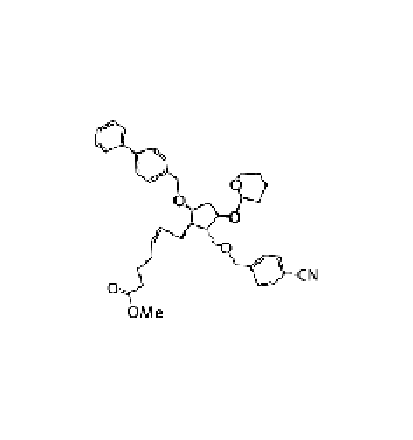 COC(=O)CCC/C=C\C[C@@H]1[C@@H](COCc2ccc(C#N)cc2)[C@H](OC2CCCCO2)C[C@@H]1OCc1ccc(-c2ccccc2)cc1